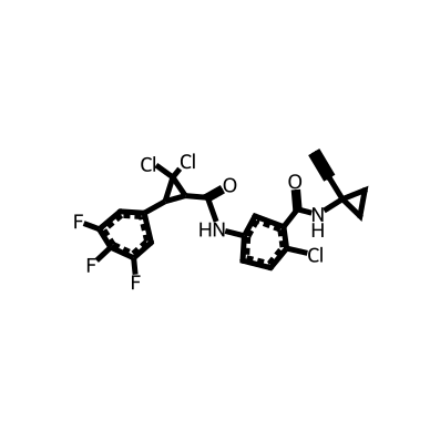 C#CC1(NC(=O)c2cc(NC(=O)C3C(c4cc(F)c(F)c(F)c4)C3(Cl)Cl)ccc2Cl)CC1